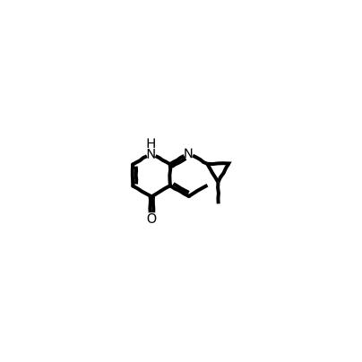 C/C=C1/C(=O)C=CN/C1=N/C1CC1C